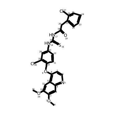 COc1cc2nccc(Oc3ccc(NC(=S)NC(=O)Cc4ccccc4Cl)cc3Cl)c2cc1OC